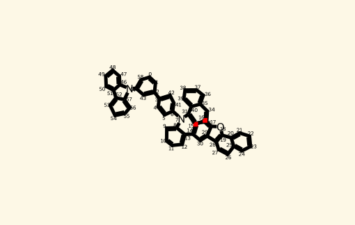 c1cc(-c2ccc(N(c3ccccc3-c3ccc4oc5c6ccccc6ccc5c4c3)c3cccc4ccccc34)cc2)cc(-n2c3ccccc3c3ccccc32)c1